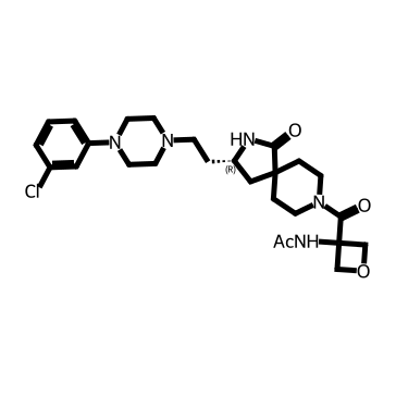 CC(=O)NC1(C(=O)N2CCC3(CC2)C[C@H](CCN2CCN(c4cccc(Cl)c4)CC2)NC3=O)COC1